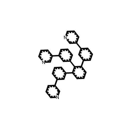 c1cncc(-c2cccc(-c3cccc(-c4cccc(-c5cccnc5)c4)c3-c3cccc(-c4cccnc4)c3)c2)c1